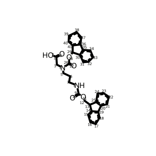 O=C(O)CN(CCCNC(=O)OCC1c2ccccc2-c2ccccc21)C(=O)OC1c2ccccc2-c2ccccc21